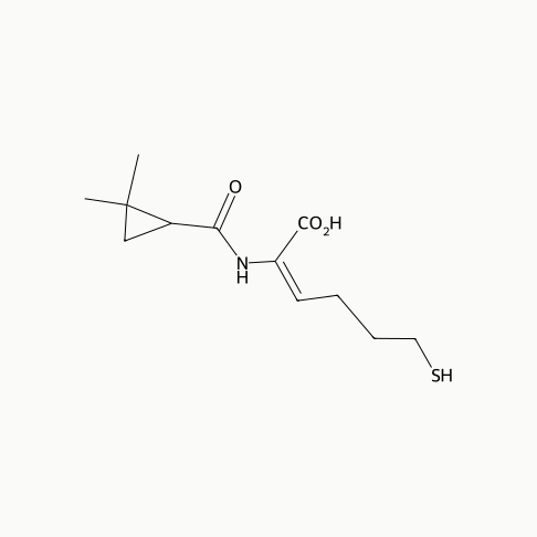 CC1(C)CC1C(=O)N/C(=C/CCCS)C(=O)O